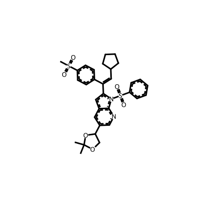 CC1(C)OCC(c2cnc3c(c2)cc(C(=CC2CCCC2)c2ccc(S(C)(=O)=O)cc2)n3S(=O)(=O)c2ccccc2)O1